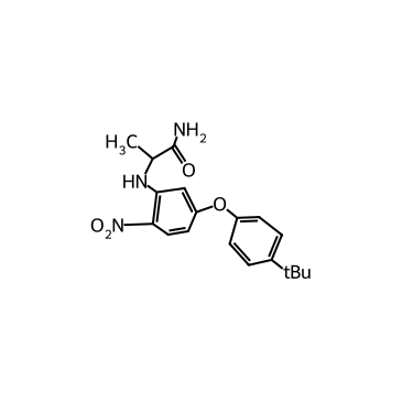 CC(Nc1cc(Oc2ccc(C(C)(C)C)cc2)ccc1[N+](=O)[O-])C(N)=O